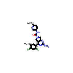 COc1ccc(NC(=O)N2Cc3nc(N)nc(-c4cc(OC)c(Br)cc4Cl)c3C2)cn1